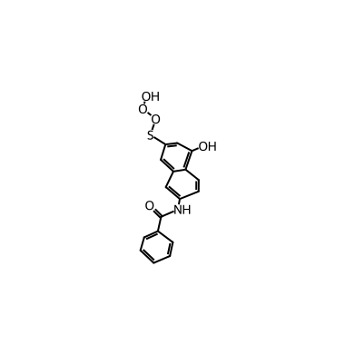 O=C(Nc1ccc2c(O)cc(SOOO)cc2c1)c1ccccc1